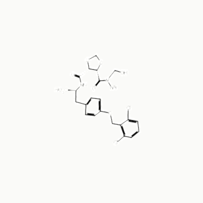 CCCN(CO)C(=O)[C@@H]1OCO[C@H]1C(=O)N[C@@H](Cc1ccc(OCc2c(Cl)cccc2Cl)cc1)C(=O)O